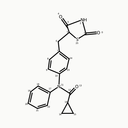 O=C1NC(=O)C(Cc2ccc(N(C(=O)C3CC3)c3ccccc3)cc2)S1